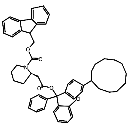 O=C(C[C@H]1CCCCN1C(=O)OCC1c2ccccc2-c2ccccc21)OC(c1ccccc1)(c1ccc(C2CCCCCCCCCC2)cc1)c1ccccc1Cl